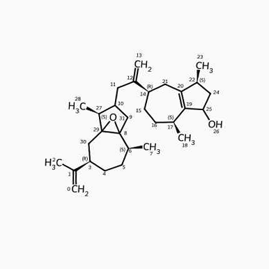 C=C(C)[C@@H]1CC[C@H](C)C23CC(CC(=C)[C@@H]4CC[C@H](C)C5=C(C4)[C@@H](C)CC5O)[C@H](C)C2(C1)O3